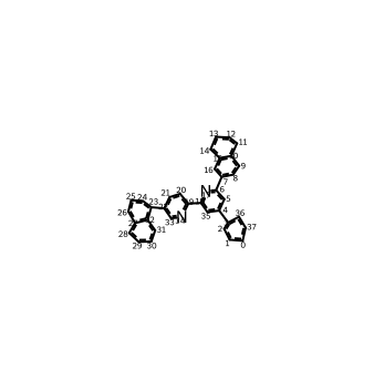 c1ccc(-c2cc(-c3ccc4ccccc4c3)nc(-c3ccc(-c4cccc5ccccc45)cn3)c2)cc1